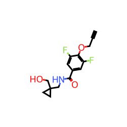 C#CCOc1c(F)cc(C(=O)NCC2(CO)CC2)cc1F